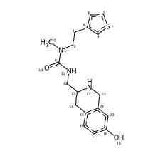 CN(CCc1ccsc1)C(=O)NCC1Cc2ccc(O)cc2CN1